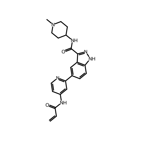 C=CC(=O)Nc1ccnc(-c2ccc3[nH]nc(C(=O)NC4CCN(C)CC4)c3c2)c1